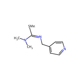 CSC(=NCc1ccncc1)N(C)C